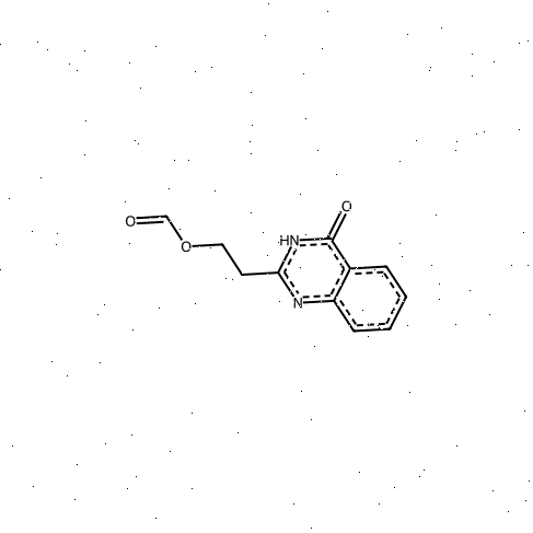 O=COCCc1nc2ccccc2c(=O)[nH]1